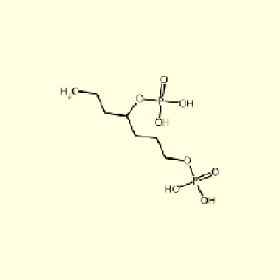 CCCC(CCCOP(=O)(O)O)OP(=O)(O)O